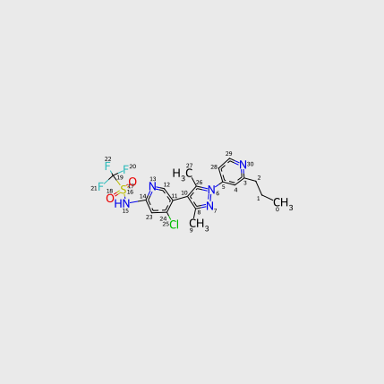 CCCc1cc(-n2nc(C)c(-c3cnc(NS(=O)(=O)C(F)(F)F)cc3Cl)c2C)ccn1